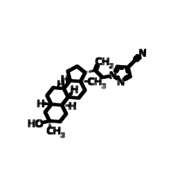 C=C(Cn1cc(C#N)cn1)[C@H]1CC[C@H]2[C@@H]3CC[C@H]4C[C@](C)(O)CC[C@@H]4[C@H]3CC[C@]12C